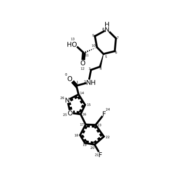 O=C(NCC[C@@H]1CCNC[C@H]1C(=O)O)c1cc(-c2ccc(F)cc2F)on1